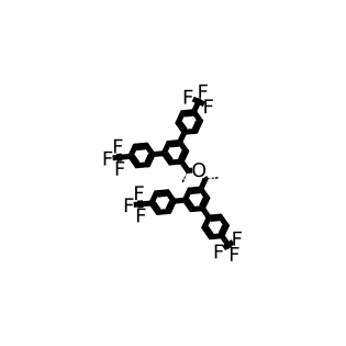 C[C@@H](O[C@H](C)c1cc(-c2ccc(C(F)(F)F)cc2)cc(-c2ccc(C(F)(F)F)cc2)c1)c1cc(-c2ccc(C(F)(F)F)cc2)cc(-c2ccc(C(F)(F)F)cc2)c1